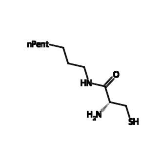 CCCCCCCCNC(=O)[C@@H](N)CS